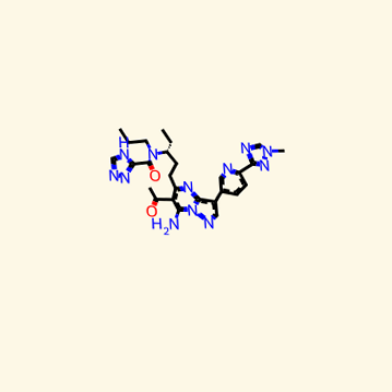 CCCN(C(=O)c1nnc[nH]1)[C@H](CC)CCc1nc2c(-c3ccc(-c4ncn(C)n4)nc3)cnn2c(N)c1C(C)=O